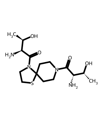 C[C@@H](O)[C@H](N)C(=O)N1CCC2(CC1)SCCN2C(=O)[C@@H](N)[C@@H](C)O